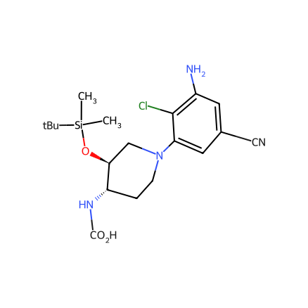 CC(C)(C)[Si](C)(C)O[C@H]1CN(c2cc(C#N)cc(N)c2Cl)CC[C@@H]1NC(=O)O